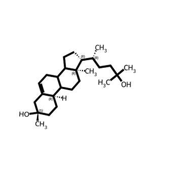 C[C@H](CCC(C)(C)O)[C@H]1CCC2C3CC=C4C[C@@](C)(O)CC[C@@H]4C3CC[C@@]21C